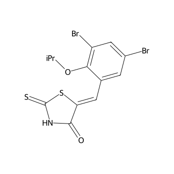 CC(C)Oc1c(Br)cc(Br)cc1/C=C1\SC(=S)NC1=O